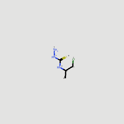 CC(CCl)NC(=S)NN